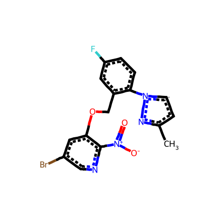 Cc1c[c]n(-c2ccc(F)cc2COc2cc(Br)cnc2[N+](=O)[O-])n1